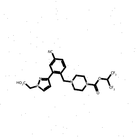 N#Cc1ccc(CN2CCN(C(=O)OC(C(F)(F)F)C(F)(F)F)CC2)c(-c2ccn(CC(=O)O)n2)c1